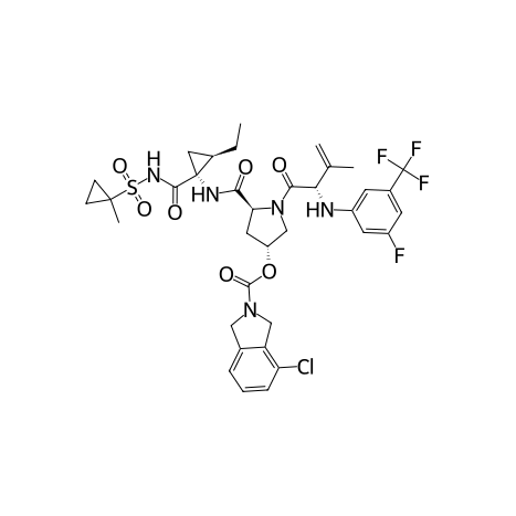 C=C(C)[C@H](Nc1cc(F)cc(C(F)(F)F)c1)C(=O)N1C[C@H](OC(=O)N2Cc3cccc(Cl)c3C2)C[C@H]1C(=O)N[C@]1(C(=O)NS(=O)(=O)C2(C)CC2)C[C@H]1CC